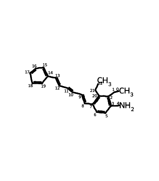 CCc1c(N)ccc(C=CC=CC=Cc2ccccc2)c1CC